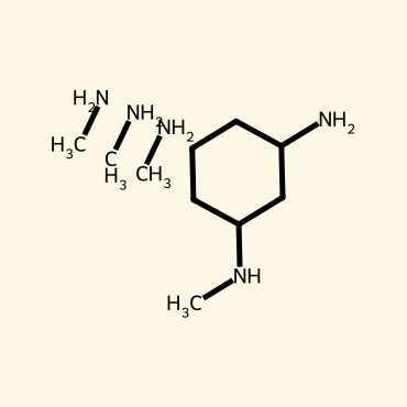 CN.CN.CN.CNC1CCCC(N)C1